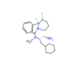 CN(C(=O)N1CCCC(F)C1(F)c1ccccc1)[C@H](CN)CC1CCCCC1